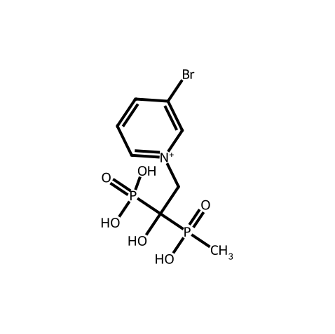 CP(=O)(O)C(O)(C[n+]1cccc(Br)c1)P(=O)(O)O